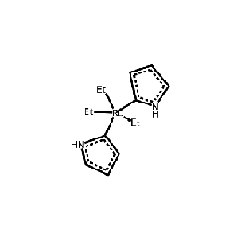 C[CH2][Ru]([CH2]C)([CH2]C)([c]1ccc[nH]1)[c]1ccc[nH]1